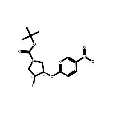 CC(C)(C)OC(=O)N1C[C@H](F)[C@H](Oc2ccc([N+](=O)[O-])cn2)C1